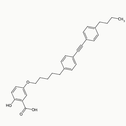 CCCCc1ccc(C#Cc2ccc(CCCCCOc3ccc(O)c(C(=O)O)c3)cc2)cc1